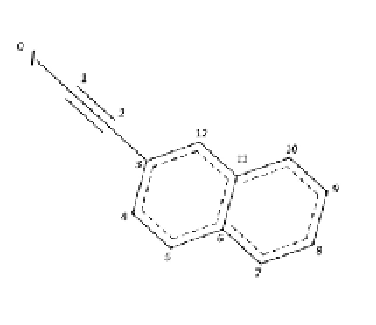 IC#Cc1ccc2ccccc2c1